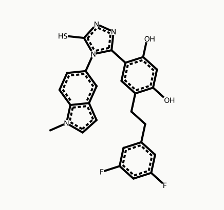 Cn1ccc2cc(-n3c(S)nnc3-c3cc(CCc4cc(F)cc(F)c4)c(O)cc3O)ccc21